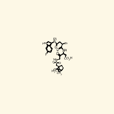 CCN(C(=O)CC(C(=O)NC(CC(=O)O)C(=O)CNS(=O)(=O)CC12CCC(CC1=O)C2(C)C)C(C)C)c1c[nH]c2cc(F)ccc12